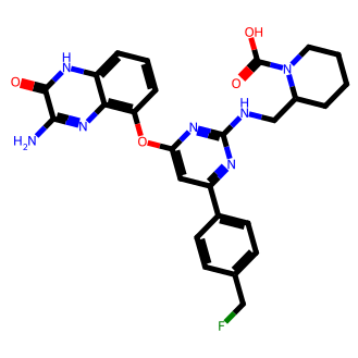 Nc1nc2c(Oc3cc(-c4ccc(CF)cc4)nc(NCC4CCCCN4C(=O)O)n3)cccc2[nH]c1=O